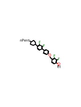 CCCCCC1CCC(c2ccc(-c3ccc(OCc4ccc(OCC)c(F)c4F)cc3)c(F)c2F)CC1